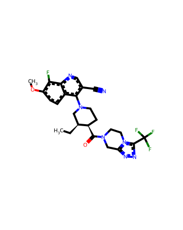 CC[C@H]1CN(c2c(C#N)cnc3c(F)c(OC)ccc23)CC[C@H]1C(=O)N1CCn2c(nnc2C(F)(F)F)C1